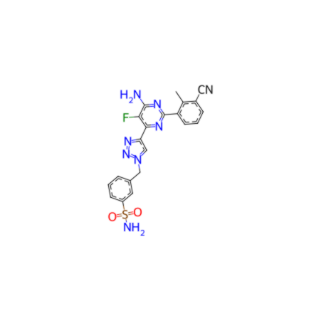 Cc1c(C#N)cccc1-c1nc(N)c(F)c(-c2cn(Cc3cccc(S(N)(=O)=O)c3)nn2)n1